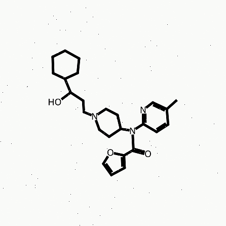 Cc1ccc(N(C(=O)c2ccco2)C2CCN(CCC(O)C3CCCCC3)CC2)nc1